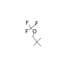 CC(C)(C)COC(F)(F)F